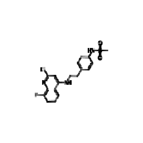 CS(=O)(=O)Nc1ccc(CCNc2cc(Cl)nc3c(F)cccc23)cc1